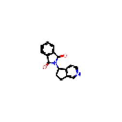 O=C1c2ccccc2C(=O)N1C1CCc2cnccc21